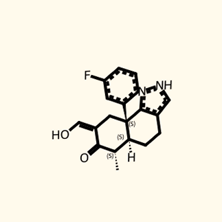 C[C@@H]1C(=O)C(=CO)C[C@]2(c3cccc(F)c3)c3n[nH]cc3CC[C@@H]12